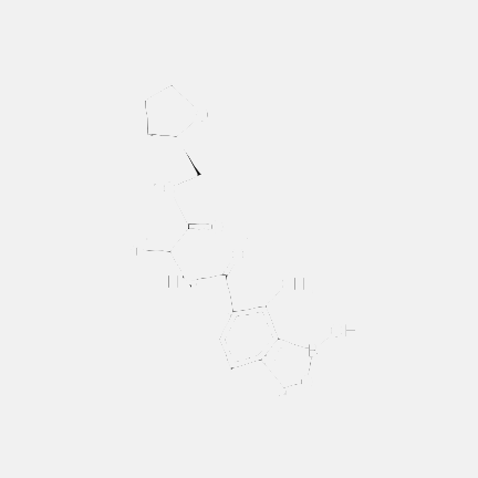 Cc1c(C(=O)NC(C(=O)OC[C@H]2CCCO2)C(C)C)ccc2c1B(O)OC2